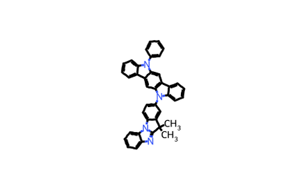 CC1(C)c2cc(-n3c4ccccc4c4cc5c(cc43)c3ccccc3n5-c3ccccc3)ccc2-n2c1nc1ccccc12